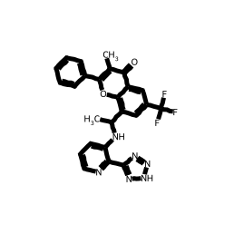 Cc1c(-c2ccccc2)oc2c(C(C)Nc3cccnc3-c3nn[nH]n3)cc(C(F)(F)F)cc2c1=O